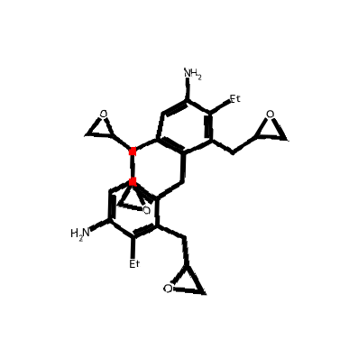 CCc1c(N)cc(CC2CO2)c(Cc2c(CC3CO3)cc(N)c(CC)c2CC2CO2)c1CC1CO1